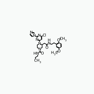 CCCNC(=O)N1CCN(c2cc(Cl)nc(-n3ccnc3)n2)C(CC(=O)NCCc2cc(OC)ccc2OC)C1